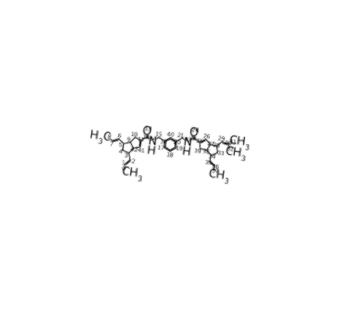 C/C=C/C1CC(/C=C/C)C2CC(C(=O)NCc3cccc(CNC(=O)C4=CC5C(C=C(C)C)CC(/C=C/C)C5C4)c3)=CC12